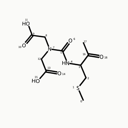 CSCC(NC(=O)N(CC(=O)O)CC(=O)O)C(C)=O